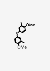 COc1ccc(Sc2ccc(OC)c(C)c2)cc1C